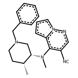 [C-]#[N+]c1cnn2cccc2c1N(C)[C@H]1CN(Cc2ccccc2)CC[C@H]1C